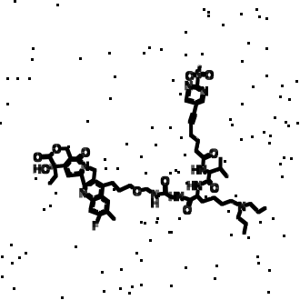 CCCN(CCC)CCCCC(NC(=O)C(NC(=O)CCCC#Cc1cnc(S(C)(=O)=O)nc1)C(C)C)C(=O)NCC(=O)NCOCCCc1c2c(nc3cc(F)c(C)cc13)-c1cc3c(c(=O)n1C2)COC(=O)[C@]3(O)CC